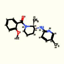 CCOc1ccccc1C(=O)N1CCC[C@@H](Nc2ccc(C(F)(F)F)cn2)[C@H]1C